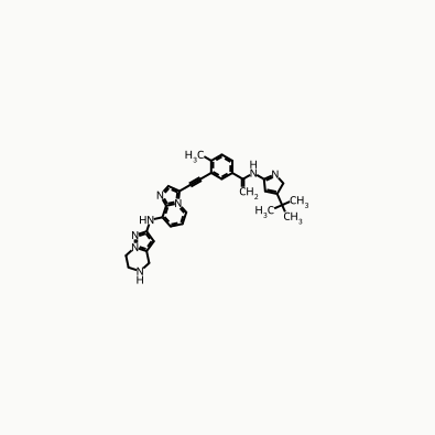 C=C(NC1=NCC(C(C)(C)C)=C1)c1ccc(C)c(C#Cc2cnc3c(Nc4cc5n(n4)CCNC5)cccn23)c1